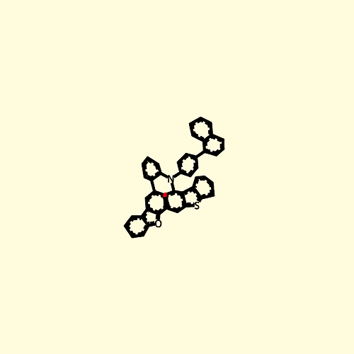 c1ccc(N(c2ccc(-c3cccc4ccccc34)cc2)c2cccc3sc4ccccc4c23)c(-c2ccc3oc4ccccc4c3c2)c1